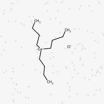 CCC[CH2][Ge+]([CH2]CCC)[CH2]CCC.[Cl-]